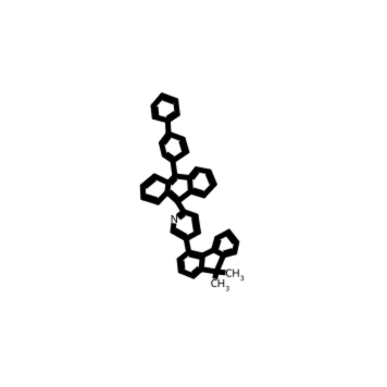 CC1(C)c2ccccc2-c2c(-c3ccc(-c4c5ccccc5c(-c5ccc(-c6ccccc6)cc5)c5ccccc45)nc3)cccc21